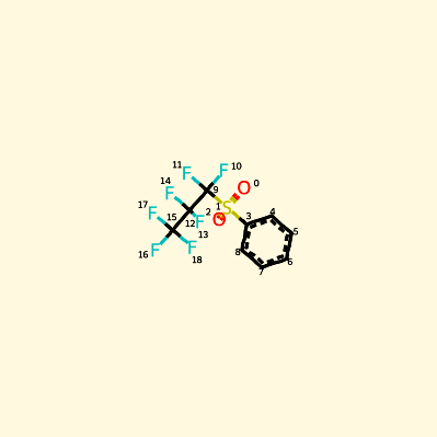 O=S(=O)(c1ccccc1)C(F)(F)C(F)(F)C(F)(F)F